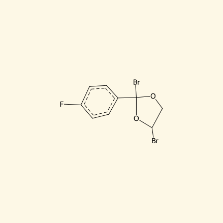 Fc1ccc(C2(Br)OCC(Br)O2)cc1